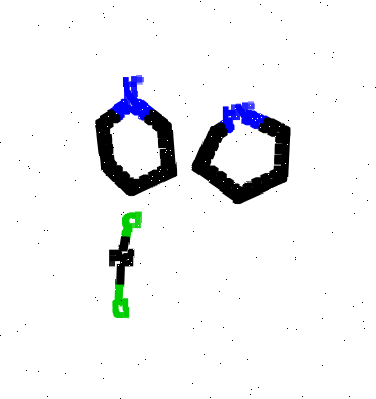 [Cl][Pd][Cl].c1cc[nH+]cc1.c1cc[nH+]cc1